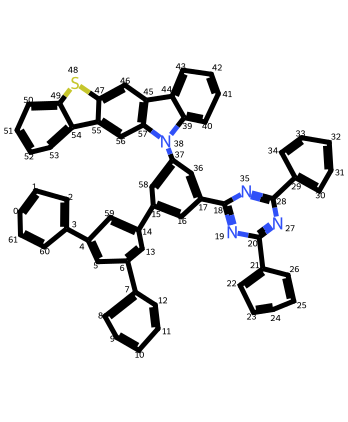 c1ccc(-c2cc(-c3ccccc3)cc(-c3cc(-c4nc(-c5ccccc5)nc(-c5ccccc5)n4)cc(-n4c5ccccc5c5cc6sc7ccccc7c6cc54)c3)c2)cc1